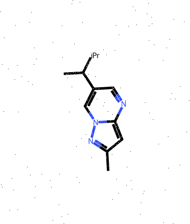 Cc1cc2ncc(C(C)C(C)C)cn2n1